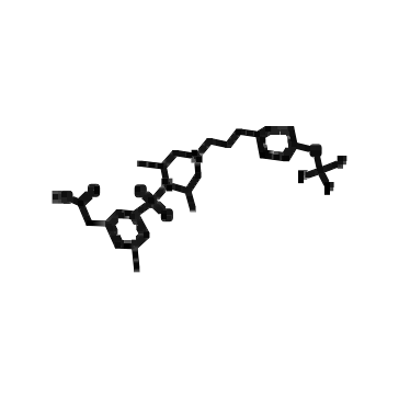 Cc1cc(CC(=O)O)cc(S(=O)(=O)N2C(C)CN(CCCc3ccc(OC(F)(F)F)cc3)CC2C)c1